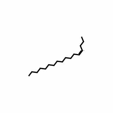 CCC/[C]=C\CCCCCCCCCCCC